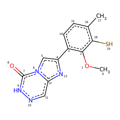 COc1c(-c2cn3c(=O)[nH]ncc3n2)ccc(C)c1S